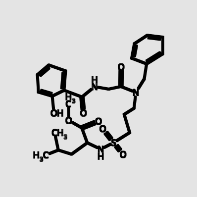 COC(=O)C(CC(C)C)NS(=O)(=O)CCCN(Cc1ccccc1)C(=O)CNC(=O)c1ccccc1O